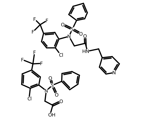 O=C(CN(c1cc(C(F)(F)F)ccc1Cl)S(=O)(=O)c1ccccc1)NCc1ccncc1.O=C(O)CN(c1cc(C(F)(F)F)ccc1Cl)S(=O)(=O)c1ccccc1